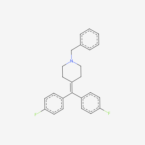 Fc1ccc(C(=C2CCN(Cc3ccccc3)CC2)c2ccc(F)cc2)cc1